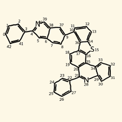 c1ccc(-c2cc3ccc(-c4cccc5sc6c(ccc7c(-c8ccccc8)nc8ccccc8c76)c45)cc3cn2)cc1